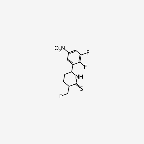 O=[N+]([O-])c1cc(F)c(F)c(C2CCC(CF)C(=S)N2)c1